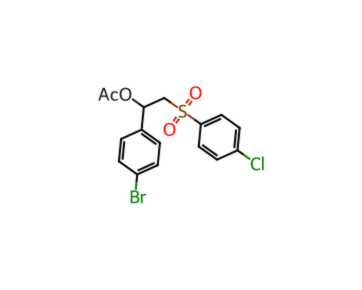 CC(=O)OC(CS(=O)(=O)c1ccc(Cl)cc1)c1ccc(Br)cc1